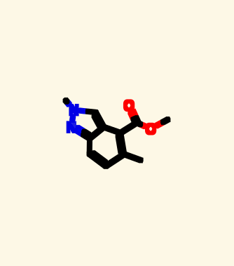 COC(=O)c1c(C)ccc2nn(C)cc12